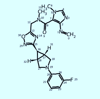 C=Nc1ncn(C)c1C(=O)N(C)Cc1nc([C@H]2[C@@H]3CN(c4cccc(F)c4)C[C@@H]32)no1